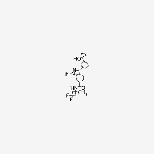 CC(C)n1nc(-c2cccc(C3(O)CCC3)c2)c2c1CC(C(=O)NC1(C)CC(F)(F)C1)CC2